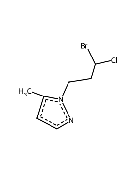 Cc1ccnn1CCC(Cl)Br